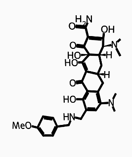 COc1ccc(CNCc2cc(N(C)C)c3c(c2O)C(=O)C2=C(O)[C@]4(O)C(=O)C(C(N)=O)=C(O)[C@@H](N(C)C)[C@@H]4C[C@@H]2C3)cc1